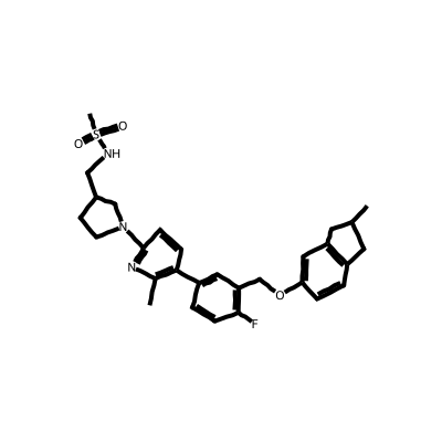 Cc1nc(N2CCC(CNS(C)(=O)=O)C2)ccc1-c1ccc(F)c(COc2ccc3c(c2)CC(C)C3)c1